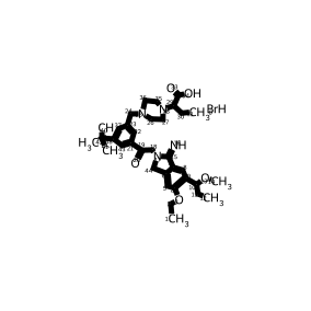 Br.CCOc1cc2c(cc1C(CC)OC)C(=N)N(CC(=O)c1cc(CN3CCN(C(CC)C(=O)O)CC3)cc(C(C)(C)C)c1)C2